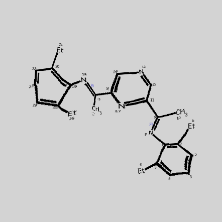 CCc1cccc(CC)c1/N=C(\C)c1cncc(/C(C)=N/c2c(CC)cccc2CC)n1